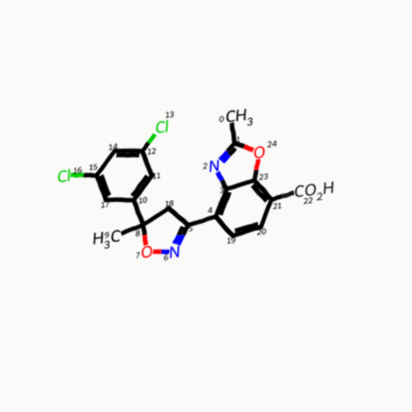 Cc1nc2c(C3=NOC(C)(c4cc(Cl)cc(Cl)c4)C3)ccc(C(=O)O)c2o1